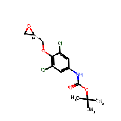 CC(C)(C)OC(=O)Nc1cc(Cl)c(OC[C@@H]2CO2)c(Cl)c1